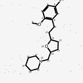 COc1ccc(F)cc1CCC1CCC(CN2CCCCC2)O1